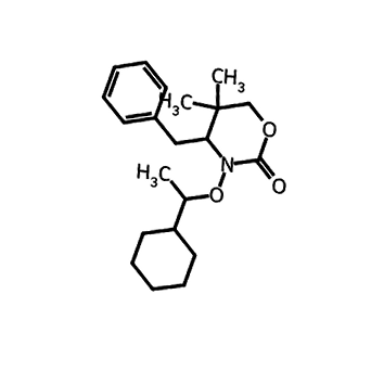 CC(ON1C(=O)OCC(C)(C)C1Cc1ccccc1)C1CCCCC1